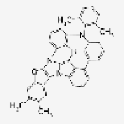 Cc1cc2oc3c(c2cc1C)n1c2cccc4c2c2c1n3-c1cccc3c1B2c1c-4cccc1N3c1c(C)cccc1C